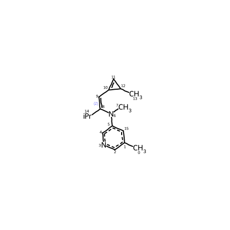 Cc1cncc(N(C)/C(=C\C2=CC2C)C(C)C)c1